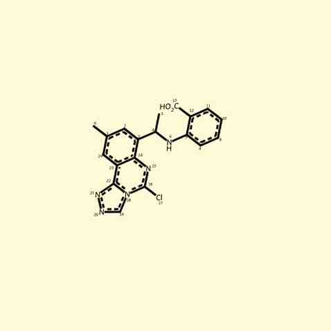 Cc1cc(C(C)Nc2ccccc2C(=O)O)c2nc(Cl)n3cnnc3c2c1